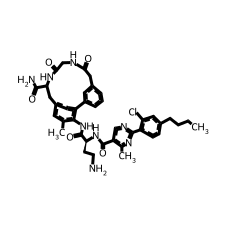 CCCCc1ccc(-c2ncc(C(=O)N[C@@H](CCN)C(=O)Nc3c(C)cc4cc3-c3cccc(c3)CC(=O)NCC(=O)NC(C(N)=O)C4)c(C)n2)c(Cl)c1